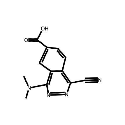 CN(C)c1nnc(C#N)c2ccc(C(=O)O)cc12